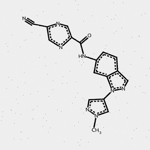 Cn1cc(-n2ncc3ccc(NC(=O)c4cnc(C#N)cn4)cc32)cn1